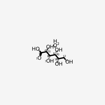 O.O=C(O)[C@@H](O)[C@@H](O)[C@H](O)[C@@H](O)CO